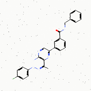 CC(=NNc1ccc(Cl)cc1)c1nc(-c2cccc(C(=O)NCc3ccccc3)c2)cnc1N